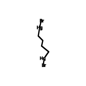 [Br][Hg][CH2]CC[CH2][Hg][Br]